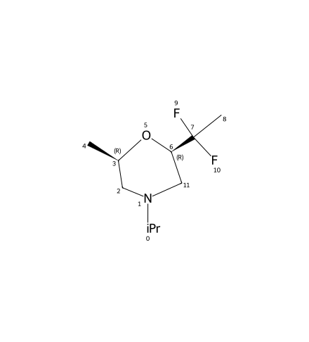 CC(C)N1C[C@@H](C)O[C@@H](C(C)(F)F)C1